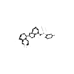 O=C(Nc1cccc(Cl)c1)c1cccc2cc(-c3cccc4cnccc34)ccc12